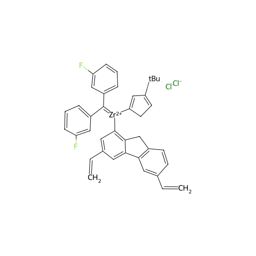 C=Cc1ccc2c(c1)-c1cc(C=C)c[c]([Zr+2]([C]3=CC(C(C)(C)C)=CC3)=[C](c3cccc(F)c3)c3cccc(F)c3)c1C2.[Cl-].[Cl-]